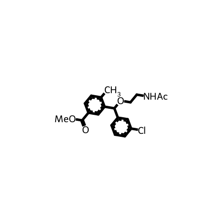 COC(=O)c1ccc(C)c(C(OCCNC(C)=O)c2cccc(Cl)c2)c1